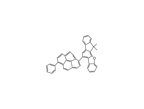 CC1(C)c2ccccc2-c2cc(-c3ccc4ccc5c(-c6ccccc6)ccc6ccc3c4c65)c3c(oc4ccccc43)c21